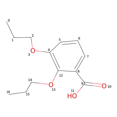 CCCOc1cccc(C(=O)O)c1OCCC